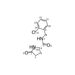 O=C1CC[C@@H](C(=O)NCc2ccccc2Cl)N1